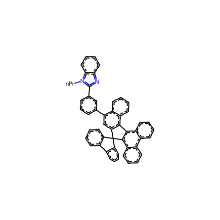 CCCn1c(-c2cccc(-c3cc4c(c5ccccc35)-c3c(c5ccccc5c5ccccc35)C43c4ccccc4-c4ccccc43)c2)nc2ccccc21